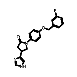 O=C1CC(c2c[nH]cn2)CN1c1ccc(OCc2cccc(F)c2)cc1